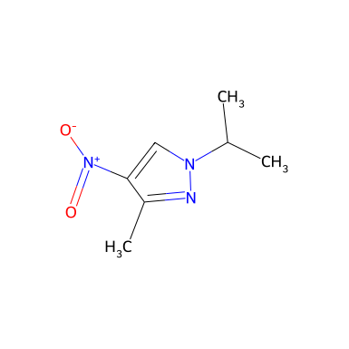 Cc1nn(C(C)C)cc1[N+](=O)[O-]